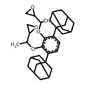 CC(Oc1c(C23CC4CC(CC(C4)C2)C3)ccc(C23CC4CC(CC(C4)C2)C3)c1OC(C)C1CO1)C1CO1